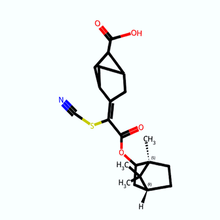 CC1(C)[C@@H]2CC[C@]1(C)C(OC(=O)C(SC#N)=C1CC3CC1CC3C(=O)O)C2